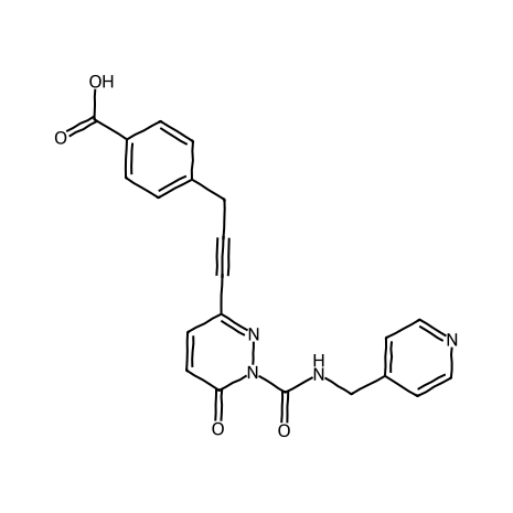 O=C(O)c1ccc(CC#Cc2ccc(=O)n(C(=O)NCc3ccncc3)n2)cc1